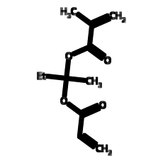 C=CC(=O)OC(C)(CC)OC(=O)C(=C)C